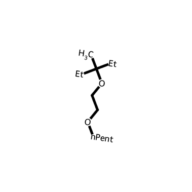 CCCCCOCCOC(C)(CC)CC